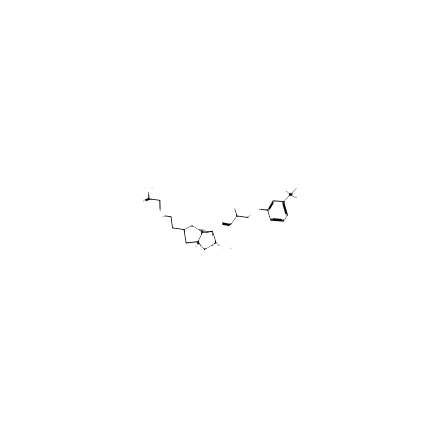 O=C(O)CSCCC1C[C@H]2C[C@H](O)[C@@H](C=CC(O)COc3cccc(C(F)(F)F)c3)[C@@H]2C1